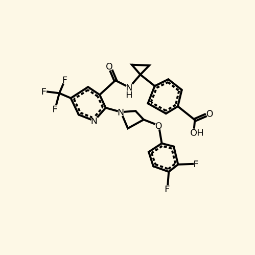 O=C(O)c1ccc(C2(NC(=O)c3cc(C(F)(F)F)cnc3N3CC(Oc4ccc(F)c(F)c4)C3)CC2)cc1